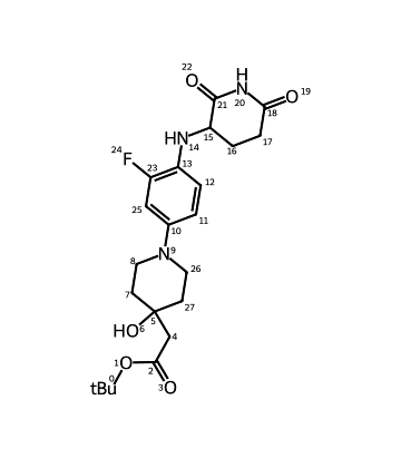 CC(C)(C)OC(=O)CC1(O)CCN(c2ccc(NC3CCC(=O)NC3=O)c(F)c2)CC1